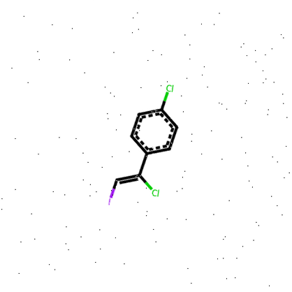 ClC(=CI)c1ccc(Cl)cc1